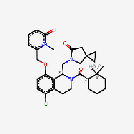 Cn1c(COc2ccc(Cl)c3c2[C@@H](CN2CC4(CC4)CC2=O)N(C(=O)[C@@H]2CCCC[C@]2(C)C(=O)O)CC3)cccc1=O